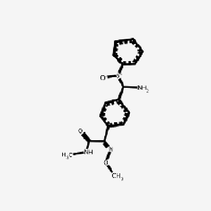 CNC(=O)C(=NOC)c1ccc(C(N)[S+]([O-])c2ccccc2)cc1